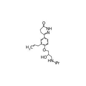 C=CCc1cc(C2=NNC(=O)CC2)ccc1OCC(O)CNC(C)C